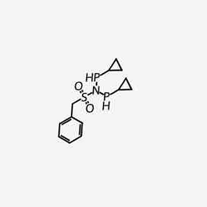 O=S(=O)(Cc1ccccc1)N(PC1CC1)PC1CC1